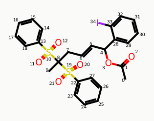 CC(=O)OC(C=CCC(C)(S(=O)(=O)c1ccccc1)S(=O)(=O)c1ccccc1)c1ccccc1I